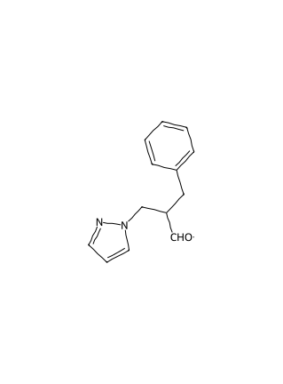 O=[C]C(Cc1ccccc1)Cn1cccn1